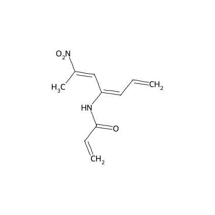 C=C/C=C(\C=C(/C)[N+](=O)[O-])NC(=O)C=C